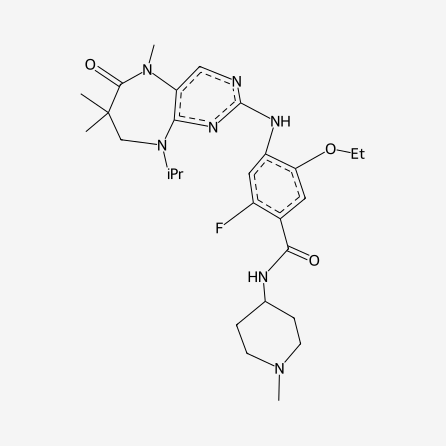 CCOc1cc(C(=O)NC2CCN(C)CC2)c(F)cc1Nc1ncc2c(n1)N(C(C)C)CC(C)(C)C(=O)N2C